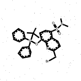 CN(C)S(=O)(=O)c1ccc(O[Si](c2ccccc2)(c2ccccc2)C(C)(C)C)c2nc(CBr)ccc12